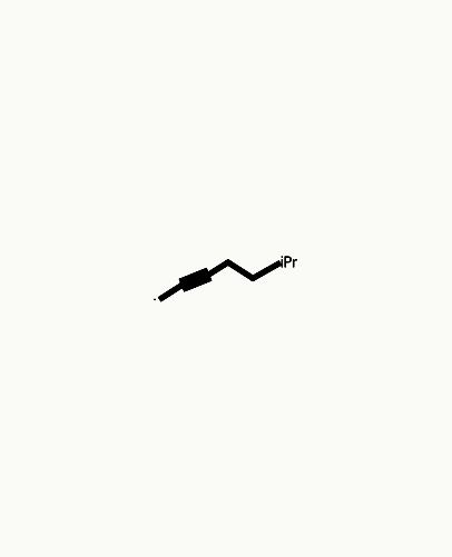 [CH2]C#CCCC(C)C